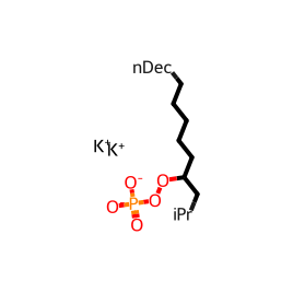 CCCCCCCCCCCCCCCC(CC(C)C)OOP(=O)([O-])[O-].[K+].[K+]